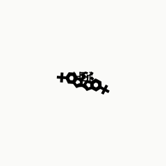 CC1=Cc2cc(C(C)(C)C)ccc2[CH]1[Zr]([CH3])([CH3])([CH]1C(C)=Cc2cc(C(C)(C)C)ccc21)[SiH](C)C